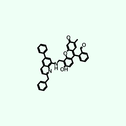 Cc1cc2c(-c3ccccc3C=O)c3ccc(O)c(CNc4cc(-c5ccccc5)cc5ccc(Cc6ccccc6)nc45)c3oc-2cc1=O